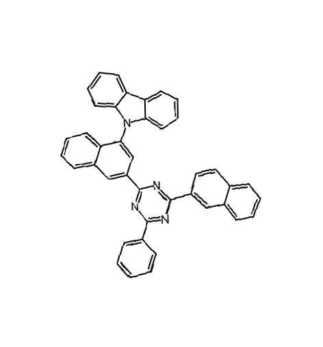 c1ccc(-c2nc(-c3ccc4ccccc4c3)nc(-c3cc(-n4c5ccccc5c5ccccc54)c4ccccc4c3)n2)cc1